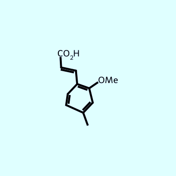 COc1cc(C)ccc1C=CC(=O)O